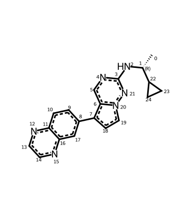 C[C@@H](Nc1ncc2c(-c3ccc4nccnc4c3)ccn2n1)C1CC1